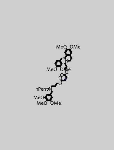 CCCCCN(CCCOC(=O)/C=C\C(=O)OCCCN1CCc2cc(OC)c(OC)cc2[C@H]1Cc1ccc(OC)c(OC)c1)Cc1cc(OC)c(OC)c(OC)c1